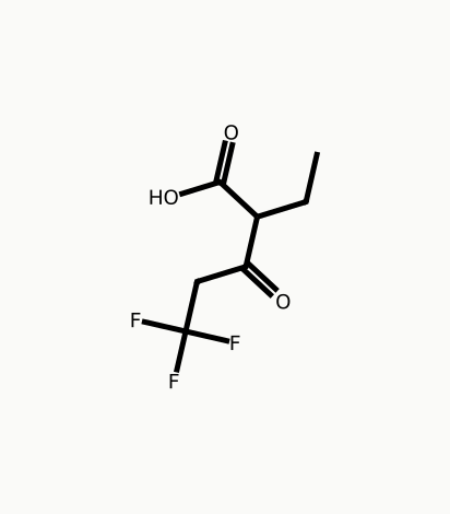 CCC(C(=O)O)C(=O)CC(F)(F)F